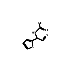 N=C(N)NC([C]=O)c1cccs1